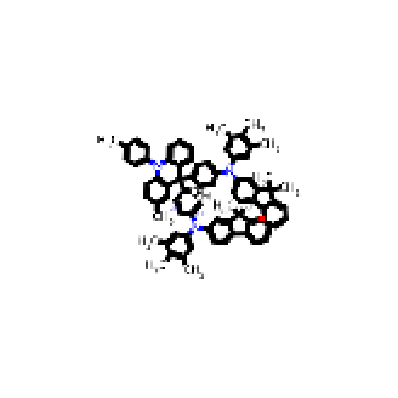 C=C(/C=C\C(=C/C)N(c1cc(C)c(C)c(C)c1)c1ccc2c(c1)C(C)(C)c1ccccc1-2)C1(c2ccc(N(c3cc(C)c(C)c(C)c3)c3ccc4c(c3)C(C)(C)c3ccccc3-4)cc2)c2ccccc2N(c2ccc(C)cc2)c2ccc(C)cc21